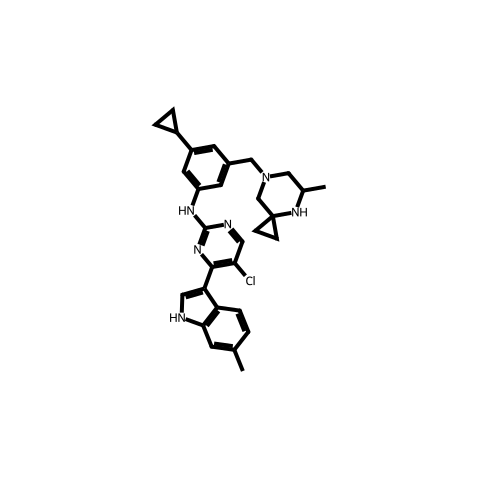 Cc1ccc2c(-c3nc(Nc4cc(CN5CC(C)NC6(CC6)C5)cc(C5CC5)c4)ncc3Cl)c[nH]c2c1